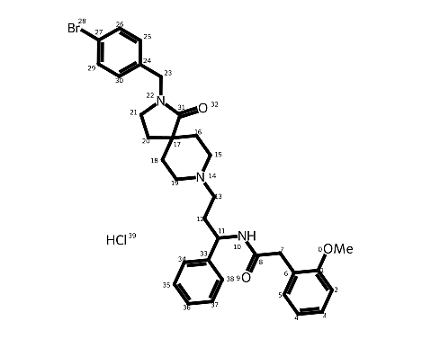 COc1ccccc1CC(=O)NC(CCN1CCC2(CC1)CCN(Cc1ccc(Br)cc1)C2=O)c1ccccc1.Cl